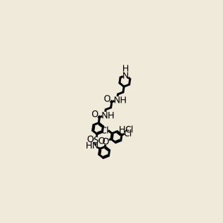 Cl.O=C(CCNC(=O)c1ccc(S(=O)(=O)Nc2ccccc2Oc2ccc(Cl)cc2Cl)cc1)NCCC1CCNCC1